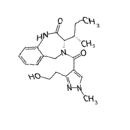 CC[C@H](C)[C@H]1C(=O)Nc2ccccc2CN1C(=O)c1cn(C)nc1CCO